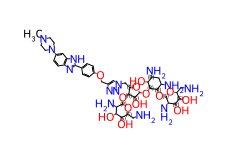 CN1CCN(c2ccc3nc(-c4ccc(OCc5cn(C[C@H]6OC(O[C@@H]7C(O)[C@H](N)CC(N)[C@H]7O[C@@H]7OC(CN)[C@@H](O)[C@H](O)C7N)[C@@H](O)[C@H]6O[C@H]6O[C@@H](CN)[C@@H](O)C(O)C6N)nn5)cc4)[nH]c3c2)CC1